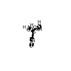 NC(=O)Nc1cc(C#Cc2ccc(N3CCOCC3)nc2)sc1C(=O)NC1CCCNC1